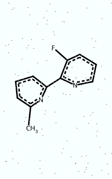 Cc1cccc(-c2ncccc2F)n1